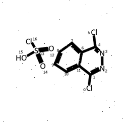 Clc1nnc(Cl)c2ccccc12.O=S(=O)(O)Cl